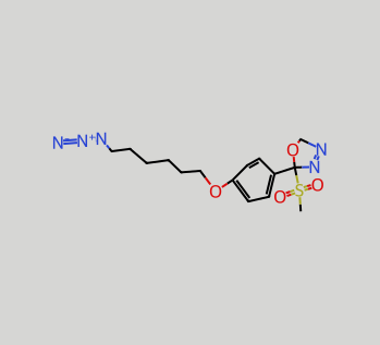 CS(=O)(=O)C1(c2ccc(OCCCCCCN=[N+]=[N-])cc2)N=NCO1